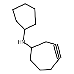 C1#CCC(NC2CCCCC2)CCC1